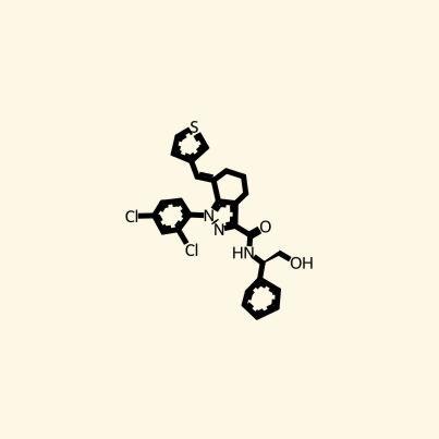 O=C(N[C@@H](CO)c1ccccc1)c1nn(-c2ccc(Cl)cc2Cl)c2c1CCC/C2=C\c1ccsc1